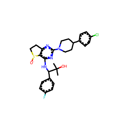 CC(C)(O)C(Nc1nc(N2CCC(c3ccc(Cl)cc3)CC2)nc2c1[S+]([O-])CC2)c1ccc(F)cc1